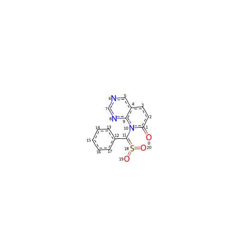 O=c1ccc2cncnc2n1C(c1ccccc1)=S(=O)=O